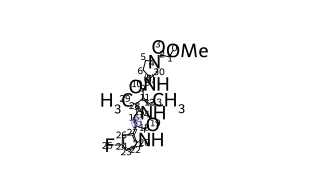 COCC(=O)N1CC[C@H](NC(=O)c2c(C)[nH]c(/C=C3\C(=O)Nc4ccc(F)cc43)c2C)C1